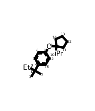 CCC(C)(C)c1ccc(OC2(C(C)C)CCCC2)cc1